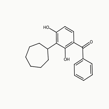 O=C(c1ccccc1)c1ccc(O)c(C2CCCCCC2)c1O